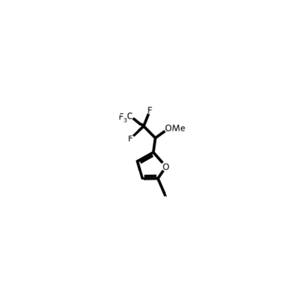 COC(c1ccc(C)o1)C(F)(F)C(F)(F)F